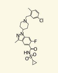 Cc1ccc(Cl)cc1CN1CCC(n2nc(C)c3cc(C(=O)NS(=O)(=O)C4CC4)c(F)cc32)CC1